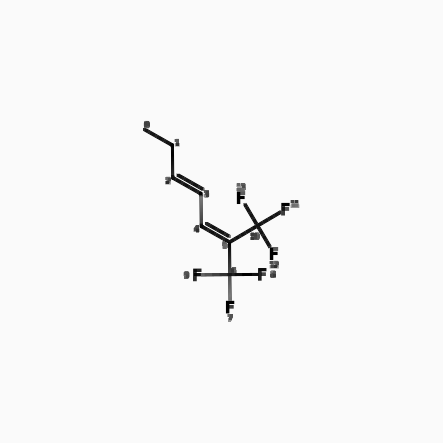 CCC=CC=C(C(F)(F)F)C(F)(F)F